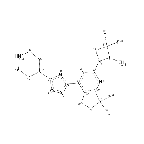 C[C@@H]1N(c2nc(-c3noc(C4CCNCC4)n3)c3c(n2)C(F)(F)CC3)CC1(F)F